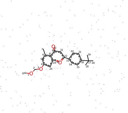 COCOc1cc(C)c2c(=O)cc(-c3ccc(C(C)(C)C)cc3)oc2c1